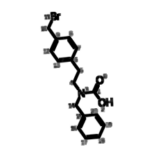 O=C(O)N(CCc1ccc(CBr)cc1)Cc1ccccc1